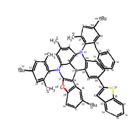 Cc1cc2c3c(c1)N(c1c(C)cc(C(C)(C)C)cc1C)c1oc4ccc(C(C)(C)C)cc4c1B3c1cc(-c3cc4ccccc4s3)ccc1N2c1c(C)cc(C(C)(C)C)cc1-c1ccccc1